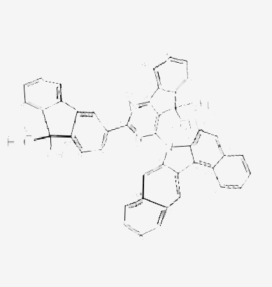 CC1(C)c2ccccc2-c2cc(-c3nc4c(c(-n5c6cc7ccccc7cc6c6c7ccccc7ccc65)n3)C(C)(C)c3ccccc3-4)ccc21